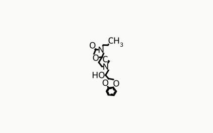 CCCN1CC2(CCN(CC(O)C3COc4ccccc4O3)CC2)OCC1=O